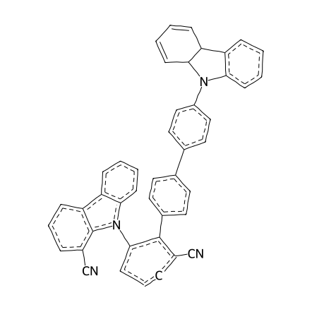 N#Cc1cccc(-n2c3ccccc3c3cccc(C#N)c32)c1-c1ccc(-c2ccc(N3c4ccccc4C4C=CC=CC43)cc2)cc1